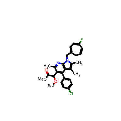 COC(=O)C(OC(C)(C)C)c1c(C)nc2c(c(C)c(C)n2CC2=CC=C(F)C=CC2)c1-c1ccc(Cl)cc1